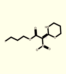 O=C(OCCCI)/C(=C1\NCCCS1)[N+](=O)[O-]